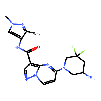 Cn1cc(NC(=O)c2cnn3ccc(N4CC(N)CC(F)(F)C4)nc23)c(C(F)(F)F)n1